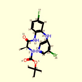 C[C@H](NC(=O)OC(C)(C)C)C(=O)Nc1ccc(F)cc1Nc1cncc(Br)c1